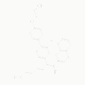 C=CCOc1ccc(-c2ccc(C(CCCCC)C(F)c3ccc4ccccc4c3)cc2F)cc1